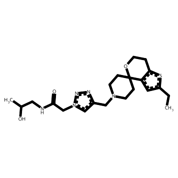 CCc1cc2c(s1)CCOC21CCN(Cc2cn(CC(=O)NCC(C)O)nn2)CC1